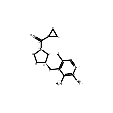 Cc1cnc(N)c(N)c1C[C@H]1CCN(C(=O)C2CC2)C1